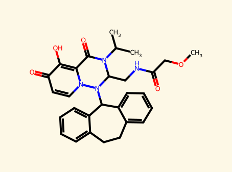 COCC(=O)NCC1N(C(C)C)C(=O)c2c(O)c(=O)ccn2N1C1c2ccccc2CCc2ccccc21